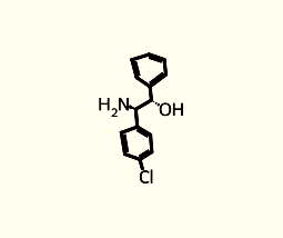 N[C@H](c1ccc(Cl)cc1)[C@@H](O)c1ccccc1